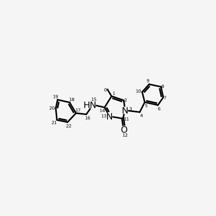 Cc1cn(Cc2ccccc2)c(=O)nc1NCc1ccccc1